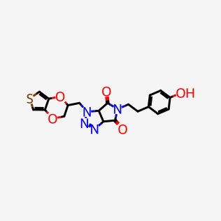 O=C1C2N=NN(CC3COc4cscc4O3)C2C(=O)N1CCc1ccc(O)cc1